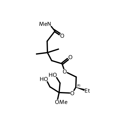 CC[C@H](COC(=O)CC(C)(C)CC(=O)NC)OC(CO)(CO)OC